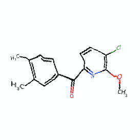 COc1nc(C(=O)c2ccc(C)c(C)c2)ccc1Cl